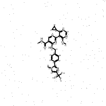 CNC(=O)c1cnc(-c2c(OC)ncnc2C2CC2)nc1NCc1ccc(-c2nc(C(F)(F)F)cn2C)cc1